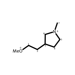 COCCC1CCN(C)C1